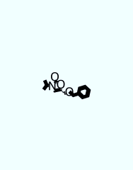 CC(C)N1C[C@@H](COCc2ccccc2)OC1=O